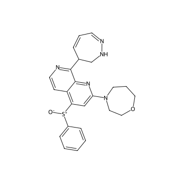 [O-][S+](c1ccccc1)c1cc(N2CCCOCC2)nc2c(C3C=CC=NNC3)nccc12